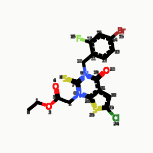 CCOC(=O)Cn1c(=S)n(Cc2ccc(Br)cc2F)c(=O)c2cc(Cl)sc21